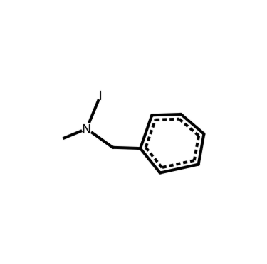 CN(I)Cc1ccccc1